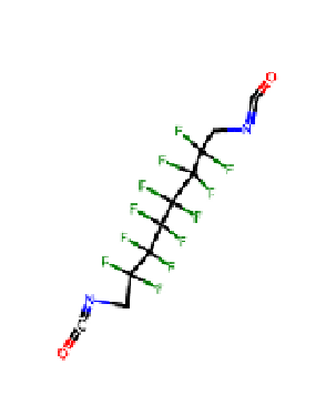 O=C=NCC(F)(F)C(F)(F)C(F)(F)C(F)(F)C(F)(F)C(F)(F)CN=C=O